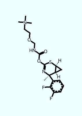 C[C@]1(c2cccc(F)c2F)N=C(OC(=O)NCOCC[Si](C)(C)C)S[C@H]2C[C@H]21